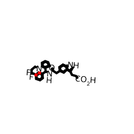 O=C(O)CCc1c[nH]c2ccc(CC(=O)NC(c3ccccc3)c3ccccc3N3CCC(F)(F)CC3)cc12